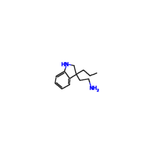 CCCC1(CCN)CNc2ccccc21